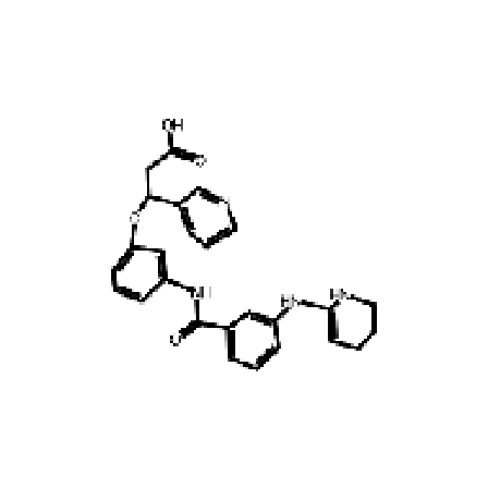 O=C(O)CC(Oc1cccc(NC(=O)c2cccc(NC3=CCCCN3)c2)c1)c1cccnc1